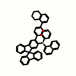 c1ccc(N(c2cc3c(cc2-c2ccc(-c4cccc5c4CCCC5)cc2)-c2ccccc2C32c3ccccc3-c3ccccc32)c2cccc3ccccc23)cc1